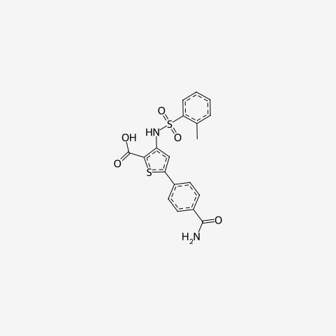 Cc1ccccc1S(=O)(=O)Nc1cc(-c2ccc(C(N)=O)cc2)sc1C(=O)O